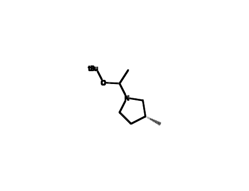 CC(OC(C)(C)C)N1CC[C@@H](C)C1